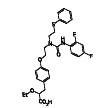 CCOC(Cc1ccc(OCCN(CCSc2ccccc2)C(=O)Nc2ccc(F)cc2F)cc1)C(=O)O